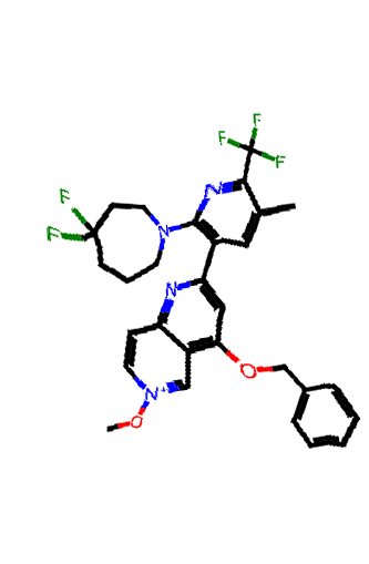 CO[n+]1ccc2nc(-c3cc(C)c(C(F)(F)F)nc3N3CCCC(F)(F)CC3)cc(OCc3ccccc3)c2c1